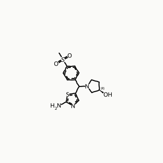 CS(=O)(=O)c1ccc(C(c2cnc(N)s2)N2CC[C@@H](O)C2)cc1